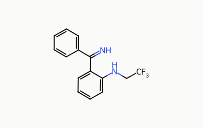 N=C(c1ccccc1)c1ccccc1NCC(F)(F)F